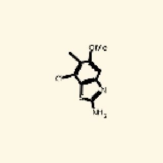 COc1cc2nc(N)sc2c(Cl)c1I